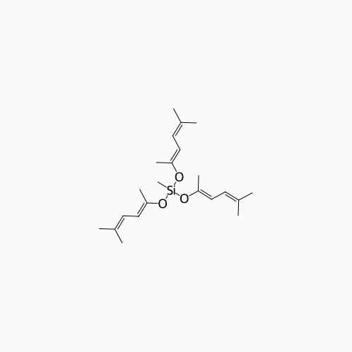 CC(C)=C/C=C(\C)O[Si](C)(O/C(C)=C/C=C(C)C)O/C(C)=C/C=C(C)C